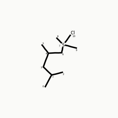 CC(C)CC(C)CS(C)(C)Cl